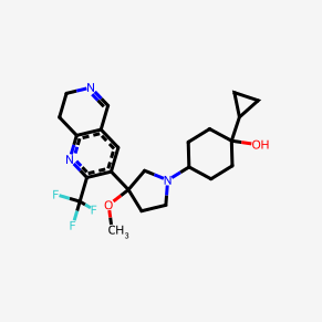 COC1(c2cc3c(nc2C(F)(F)F)CCN=C3)CCN(C2CCC(O)(C3CC3)CC2)C1